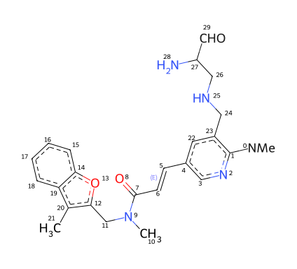 CNc1ncc(/C=C/C(=O)N(C)Cc2oc3ccccc3c2C)cc1CNCC(N)C=O